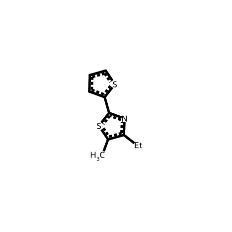 CCc1nc(-c2cccs2)sc1C